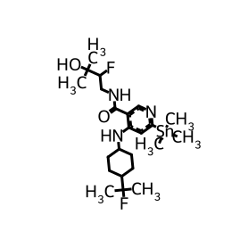 CC(C)(O)C(F)CNC(=O)c1cn[c]([Sn]([CH3])([CH3])[CH3])cc1NC1CCC(C(C)(C)F)CC1